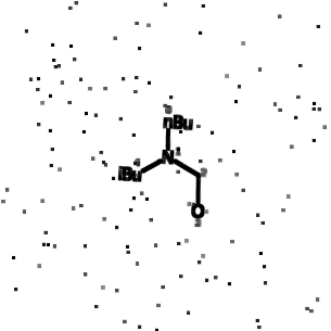 CCCCN(C[O])C(C)CC